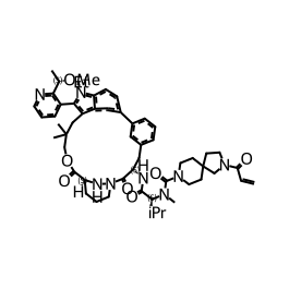 C=CC(=O)N1CCC2(CCN(C(=O)N(C)[C@H](C(=O)N[C@H]3Cc4cccc(c4)-c4ccc5c(c4)c(c(-c4cccnc4[C@H](C)OC)n5CC)CC(C)(C)COC(=O)[C@@H]4CCCN(N4)C3=O)C(C)C)CC2)C1